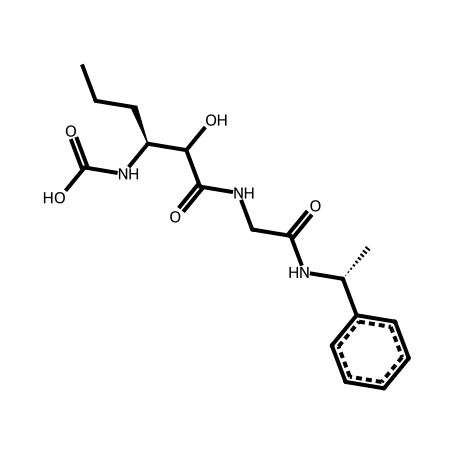 CCC[C@H](NC(=O)O)C(O)C(=O)NCC(=O)N[C@H](C)c1ccccc1